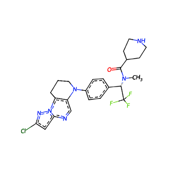 CN(C(=O)C1CCNCC1)[C@@H](c1ccc(N2CCCc3c2cnc2cc(Cl)nn32)cc1)C(F)(F)F